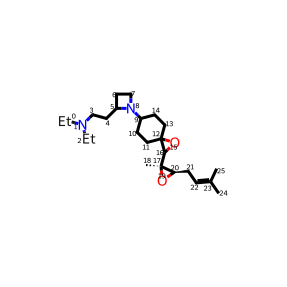 CCN(CC)CCC1CCN1C1CCC2(CC1)OC2[C@]1(C)O[C@@H]1CC=C(C)C